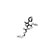 Cc1sc(NC(=O)COCC(=O)O)c(C(=O)OC(C)(C)C)c1-c1ccncc1